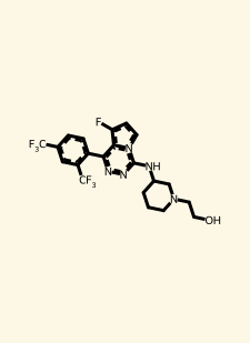 OCCN1CCCC(Nc2nnc(-c3ccc(C(F)(F)F)cc3C(F)(F)F)c3c(F)ccn23)C1